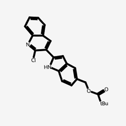 CC(C)(C)C(=O)OCc1ccc2[nH]c(-c3cc4ccccc4nc3Cl)cc2c1